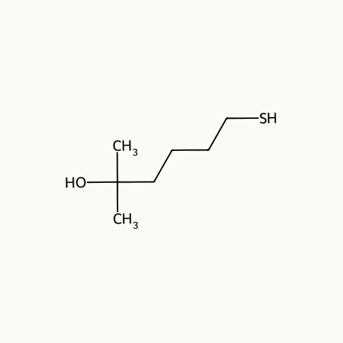 CC(C)(O)CCCCS